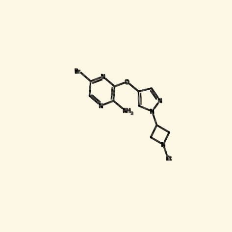 CCN1CC(n2cc(Oc3nc(Br)cnc3N)cn2)C1